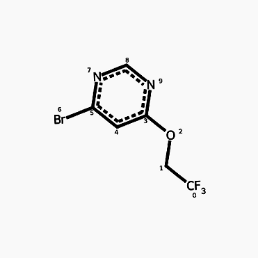 FC(F)(F)COc1cc(Br)ncn1